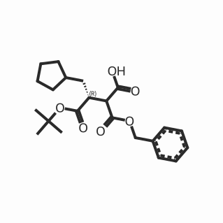 CC(C)(C)OC(=O)[C@H](CC1CCCC1)C(C(=O)O)C(=O)OCc1ccccc1